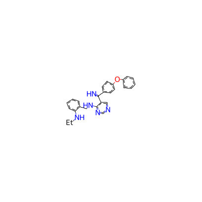 CCNc1ccccc1CNc1ncncc1C(=N)c1ccc(Oc2ccccc2)cc1